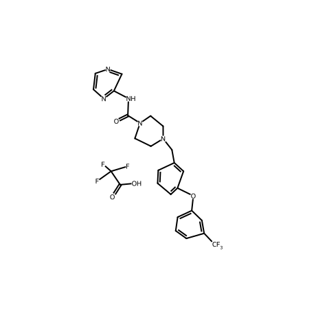 O=C(Nc1cnccn1)N1CCN(Cc2cccc(Oc3cccc(C(F)(F)F)c3)c2)CC1.O=C(O)C(F)(F)F